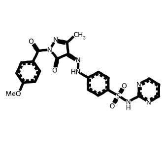 COc1ccc(C(=O)N2N=C(C)C(=NNc3ccc(S(=O)(=O)Nc4ncccn4)cc3)C2=O)cc1